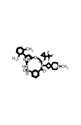 Cc1cccc(C)c1-c1cc2nc(n1)NS(=O)(=O)c1cccc(c1)C(=O)N(C1CC3(CCN(C)CC3)C1)[C@@H](CC1(C(F)(F)F)CC1)CO2